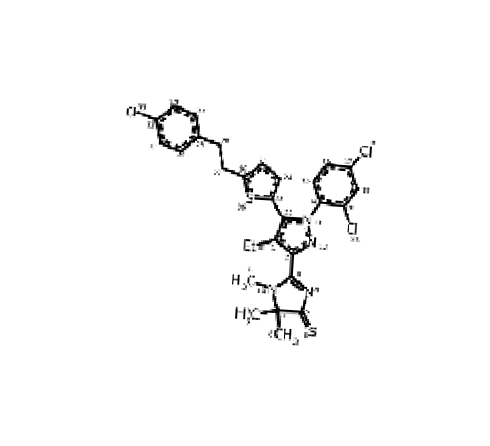 CCc1c(C2=NC(=S)C(C)(C)N2C)nn(-c2ccc(Cl)cc2Cl)c1-c1ccc(CCc2ccc(Cl)cc2)s1